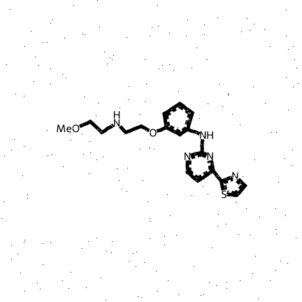 COCCNCCOc1cccc(Nc2nccc(-c3nccs3)n2)c1